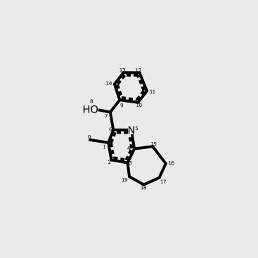 Cc1cc2c(nc1C(O)c1ccccc1)CCCCC2